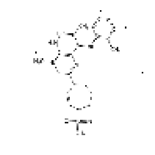 Cc1ccccc1NC(C1=C(N)N(C)CC(C2=CCCC(S(C)(=O)=O)C=C2)=N1)N(C)C